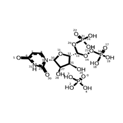 O=P(O)(O)O.O=c1ccn([C@@H]2O[C@H](C(OOP(=O)(O)O)OP(=O)(O)O)[C@@H](O)[C@H]2O)c(=O)[nH]1